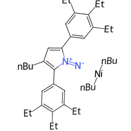 CCCCC1=C(c2cc(CC)c(CC)c(CC)c2)[N+](=[N-])C(c2cc(CC)c(CC)c(CC)c2)=C1.CCC[CH2][Ni][CH2]CCC